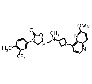 COc1ccc2nccc(N3CC(N(C)C[C@@H]4CN(c5ccc(C)c(C(F)(F)F)c5)C(=O)O4)C3)c2n1